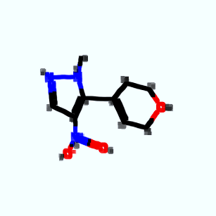 Cn1ncc([N+](=O)[O-])c1C1=CCOCC1